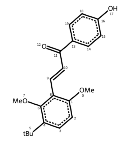 COc1ccc(C(C)(C)C)c(OC)c1C=CC(=O)c1ccc(O)cc1